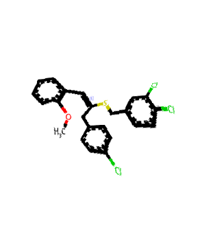 COc1ccccc1/C=C(\Cc1ccc(Cl)cc1)SCc1ccc(Cl)c(Cl)c1